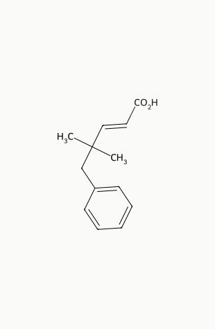 CC(C)(C=CC(=O)O)Cc1ccccc1